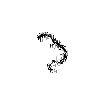 CN(CCCNC(=O)c1cccc(C(=O)O)c1)CCCNC(=O)c1cc(NC(=O)c2cc(NC(=O)c3cc(NC(=O)c4nc(NC(=O)[C@H](N)CCNC(=O)c5cc(NC(=O)c6cc(NC(=O)c7nc(NC(=O)c8nccn8C)cn7C)cn6C)cn5C)cn4C)cn3C)cn2C)cn1C